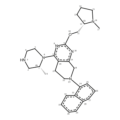 C[C@@H]1CNCCN1c1nc(OC[C@@H]2CCCN2C)nc2c1CCN(c1cccc3ccccc13)C2